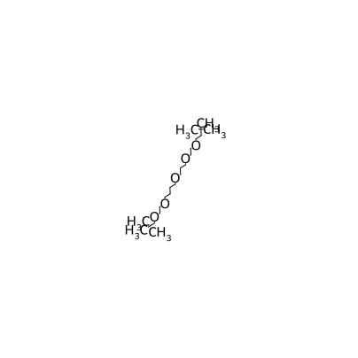 CC(C)(C)CCOCCOCCCOCCCCOCCOCC(C)(C)C